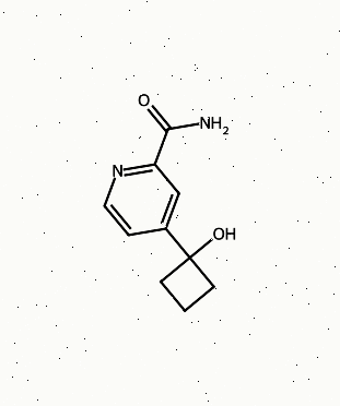 NC(=O)c1cc(C2(O)CCC2)ccn1